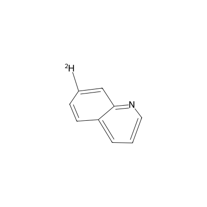 [2H]c1ccc2cccnc2c1